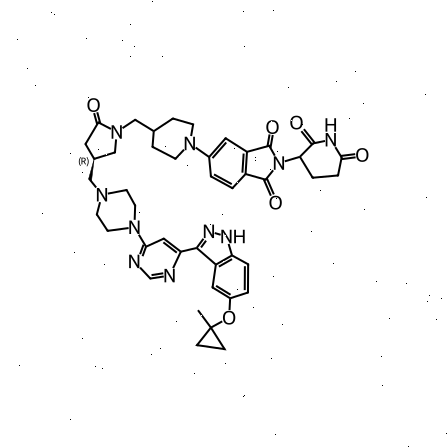 CC1(Oc2ccc3[nH]nc(-c4cc(N5CCN(C[C@H]6CC(=O)N(CC7CCN(c8ccc9c(c8)C(=O)N(C8CCC(=O)NC8=O)C9=O)CC7)C6)CC5)ncn4)c3c2)CC1